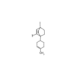 CC1=CCC(C23CCC(I)(C=C2F)CC3)CC1